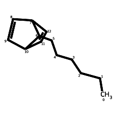 CCCCCCC1C2C=CC1C=C2